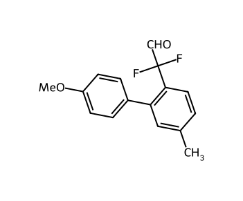 COc1ccc(-c2cc(C)ccc2C(F)(F)C=O)cc1